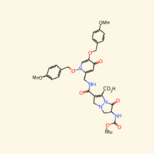 COc1ccc(COc2cn(OCc3ccc(OC)cc3)c(CNC(=O)C3=C(C(=O)O)N4C(=O)C(NC(=O)OC(C)(C)C)CN4C3)cc2=O)cc1